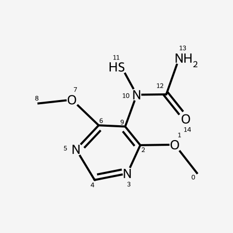 COc1ncnc(OC)c1N(S)C(N)=O